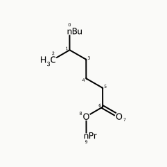 CCCCC(C)CCCC(=O)OCCC